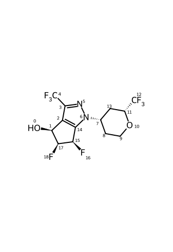 O[C@H]1c2c(C(F)(F)F)nn([C@H]3CCO[C@@H](C(F)(F)F)C3)c2[C@@H](F)[C@H]1F